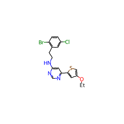 CCOc1csc(-c2cc(NCCc3cc(Cl)ccc3Br)ncn2)c1